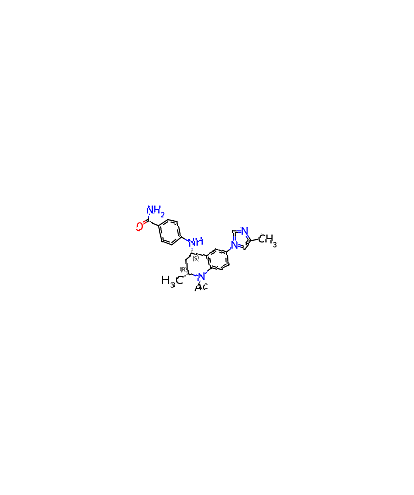 CC(=O)N1c2ccc(-n3cnc(C)c3)cc2[C@@H](Nc2ccc(C(N)=O)cc2)C[C@H]1C